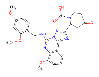 COc1ccc(CNc2nc3c(OC)cccc3c3nc(C4CC(=O)CCN4C(=O)O)nn23)c(OC)c1